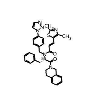 Cc1nc(C)c(C=CC(=O)N(Cc2ccc(-n3ccnn3)cc2)[C@@H](Cc2ccccc2)C(=O)N2CCc3ccccc3C2)s1